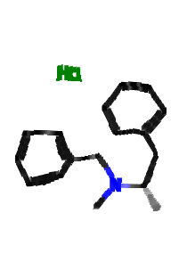 C[C@@H](Cc1ccccc1)N(C)Cc1ccccc1.Cl